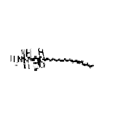 CCCCCCCCCCCCCCCCCCNC(CCCNC(=N)N)C(=O)OC